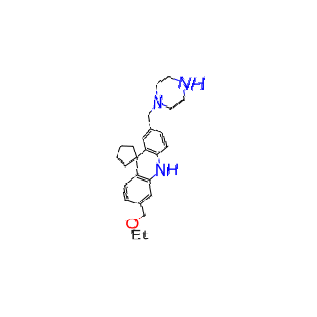 CCOCc1ccc2c(c1)Nc1ccc(CN3CCNCC3)cc1C21CCCC1